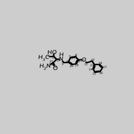 CC(O)C(NCc1ccc(OCCc2ccccc2)cc1)C(N)=O